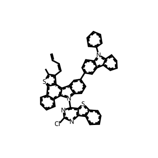 C=C/C=C\c1c(C)sc2c3ccccc3c3c(c4cc(-c5ccc6c(c5)c5ccccc5n6-c5ccccc5)ccc4n3-c3nc(Cl)nc4c3sc3ccccc34)c12